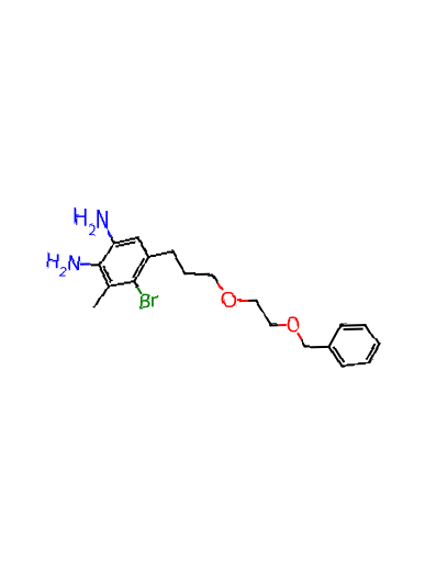 Cc1c(N)c(N)cc(CCCOCCOCc2ccccc2)c1Br